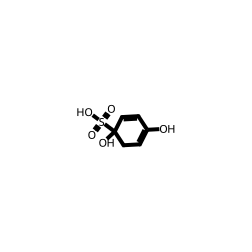 O=S(=O)(O)C1(O)C=CC(O)=CC1